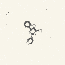 Clc1nc([C@H]2CCOC2)nc2c1oc1ccccc12